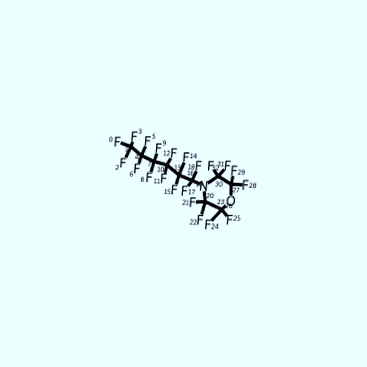 FC(F)(F)C(F)(F)C(F)(F)C(F)(F)C(F)(F)C(F)(F)N1C(F)(F)C(F)(F)OC(F)(F)C1(F)F